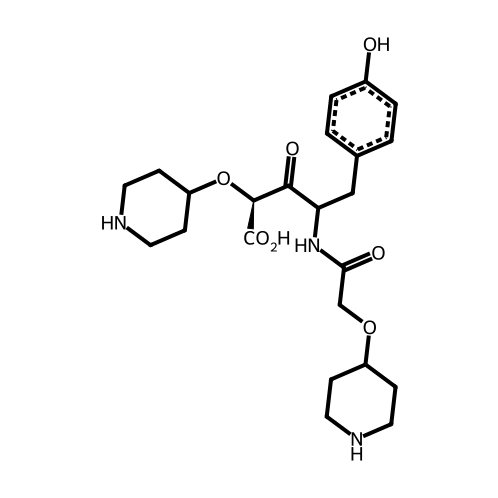 O=C(COC1CCNCC1)NC(Cc1ccc(O)cc1)C(=O)[C@H](OC1CCNCC1)C(=O)O